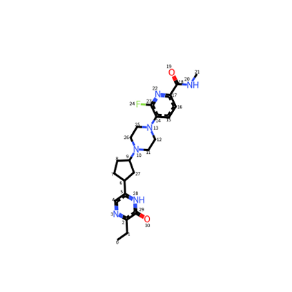 CCc1ncc(C2CCC(N3CCN(c4ccc(C(=O)NC)nc4F)CC3)C2)[nH]c1=O